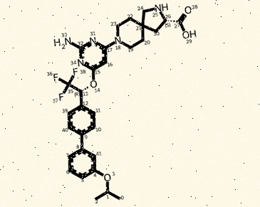 CC(C)Oc1cccc(-c2ccc([C@@H](Oc3cc(N4CCC5(CC4)CN[C@H](C(=O)O)C5)nc(N)n3)C(F)(F)F)cc2)c1